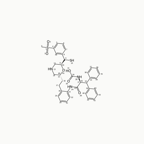 CS(=O)(=O)c1cccc(C(S)[C@@H]2CNC[C@@H](CCc3ccccc3NC(=O)[C@@H](NC(=O)O)C(c3ccccc3)c3ccccc3)O2)c1